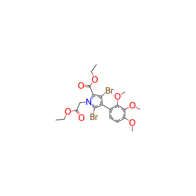 CCOC(=O)Cn1c(Br)c(-c2ccc(OC)c(OC)c2OC)c(Br)c1C(=O)OCC